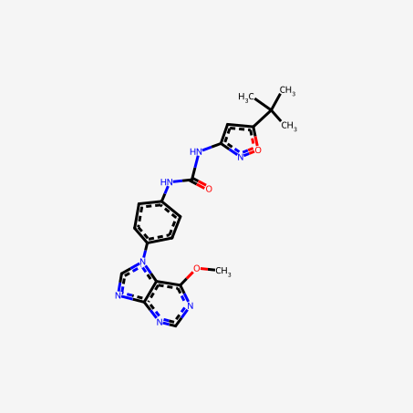 COc1ncnc2ncn(-c3ccc(NC(=O)Nc4cc(C(C)(C)C)on4)cc3)c12